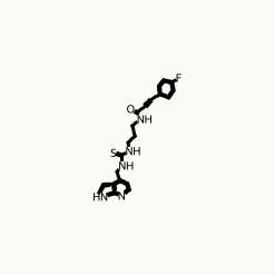 O=C(C#Cc1ccc(F)cc1)NCCCNC(=S)NCc1ccnc2[nH]ccc12